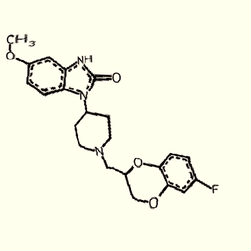 COc1ccc2c(c1)[nH]c(=O)n2C1CCN(CC2COc3cc(F)ccc3O2)CC1